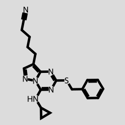 N#CCCCCc1cnn2c(NC3CC3)nc(SCc3ccccc3)nc12